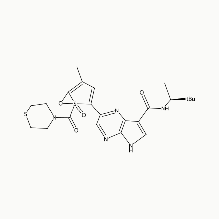 CC1=C2OS2(=O)(C(=O)N2CCSCC2)C(c2cnc3[nH]cc(C(=O)N[C@@H](C)C(C)(C)C)c3n2)=C1